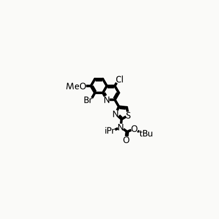 COc1ccc2c(Cl)cc(-c3csc(N(C(=O)OC(C)(C)C)C(C)C)n3)nc2c1Br